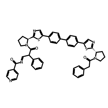 O=C(/N=C/C(C(=O)N1CCC[C@H]1c1ncc(-c2ccc(-c3ccc(-c4cnc([C@@H]5CCCN5C(=O)Cc5ccccc5)s4)cc3)cc2)s1)c1ccccc1)c1ccncc1